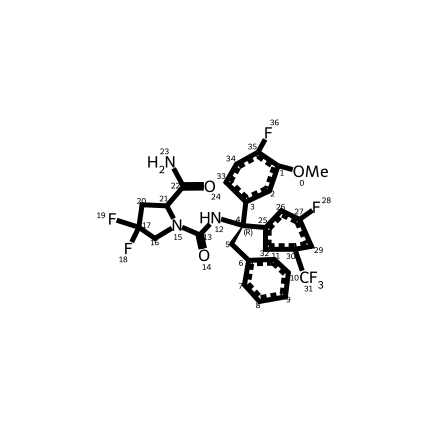 COc1cc([C@@](Cc2ccccc2)(NC(=O)N2CC(F)(F)CC2C(N)=O)c2cc(F)cc(C(F)(F)F)c2)ccc1F